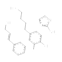 CCC=Cc1ccccc1.CCCCCc1ccc(Cl)c(Cl)c1.Nc1nccs1